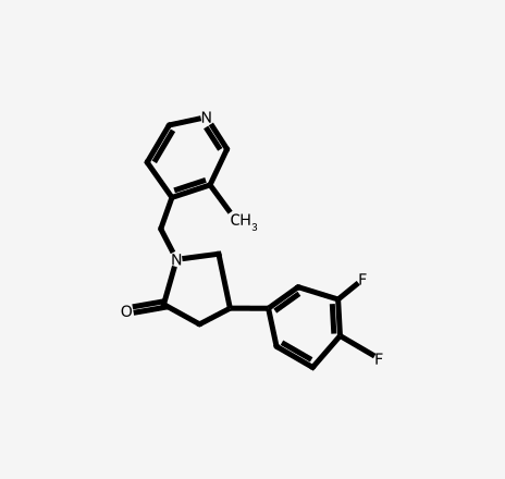 Cc1cnccc1CN1CC(c2ccc(F)c(F)c2)CC1=O